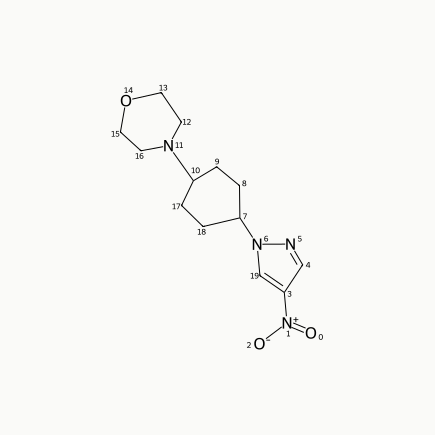 O=[N+]([O-])c1cnn(C2CCC(N3CCOCC3)CC2)c1